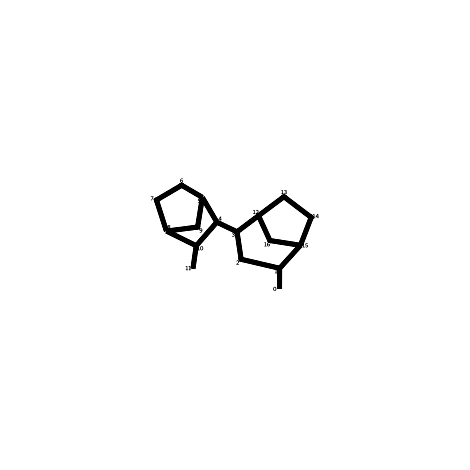 CC1CC(C2C3CCC(C3)C2C)C2CCC1C2